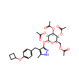 CC(=O)OC[C@H]1O[C@@H](Oc2n[nH]c(C)c2Cc2ccc(OC3CCC3)cc2)[C@H](OC(C)=O)[C@@H](OC(C)=O)[C@@H]1OC(C)=O